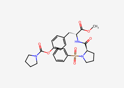 COC(=O)[C@@H](Cc1ccc(OC(=O)N2CCCC2)cc1)NC(=O)[C@H]1CCCN1S(=O)(=O)c1ccccc1